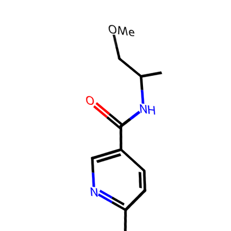 COCC(C)NC(=O)c1ccc(C)nc1